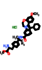 COC(=O)C(N)Cc1ccc(C(C)(C)NC(=O)c2ccc3c(C4CCCCC4)c4n(c3c2)CCOc2cc(OC)ccc2-4)cc1.Cl